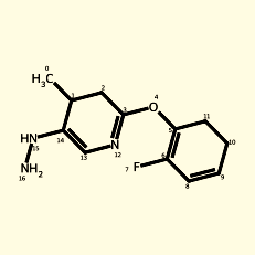 CC1CC(OC2=C(F)C=CCC2)=NC=C1NN